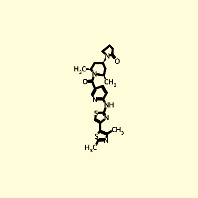 Cc1nc(C)c(-c2csc(Nc3ccc(C(=O)N4[C@H](C)C[C@H](N5CCCC5=O)C[C@@H]4C)cn3)n2)s1